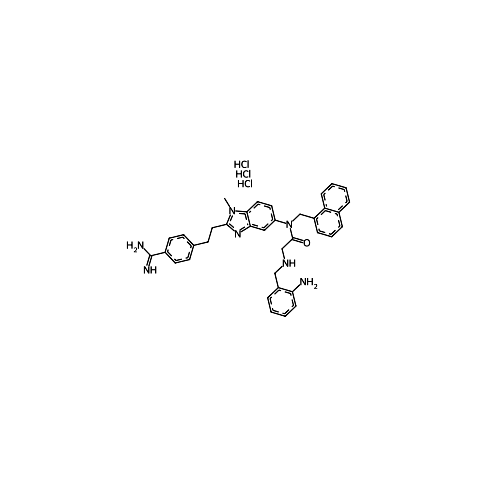 Cl.Cl.Cl.Cn1c(CCc2ccc(C(=N)N)cc2)nc2cc(N(Cc3cccc4ccccc34)C(=O)CNCc3ccccc3N)ccc21